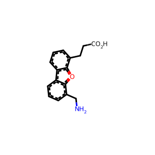 NCc1cccc2c1oc1c(CCC(=O)O)cccc12